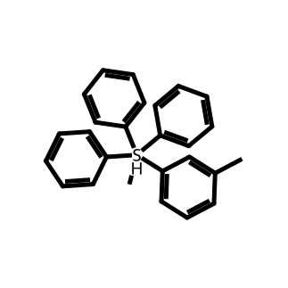 Cc1cccc([SH](C)(c2ccccc2)(c2ccccc2)c2ccccc2)c1